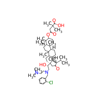 CC(C)C1=C2[C@H]3CC[C@@H]4[C@@]5(C)CC[C@H](OC(=O)CC(C)(C)C(=O)O)C(C)(C)[C@@H]5CC[C@@]4(C)[C@]3(C)CC[C@@]2([C@@H](O)CN(CCN(C)C)Cc2ccccc2Cl)CC1=O